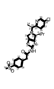 CC(C)[C@H]1c2nc(NC(=O)Cc3ccc(S(C)(=O)=O)cc3)sc2CN1[C@@H](C)c1ccc(Cl)cn1